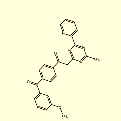 COc1cccc(C(=O)c2ccc(C(=O)Cc3nc(C)nc(-c4ccccn4)n3)cc2)c1